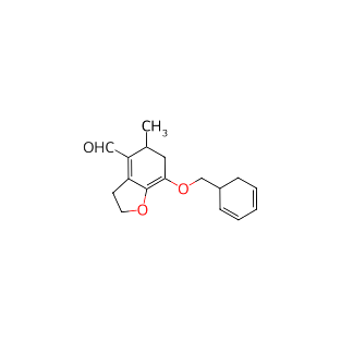 CC1CC(OCC2C=CC=CC2)=C2OCCC2=C1C=O